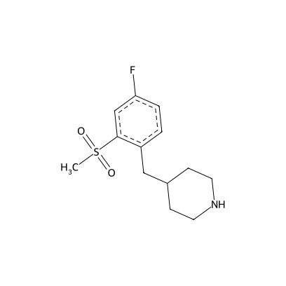 CS(=O)(=O)c1cc(F)ccc1CC1CCNCC1